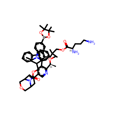 CCn1c(-c2cc(C3=CC4COCC(C3)N4C(=O)OCC3c4ccccc4-c4ccccc43)cnc2[C@H](C)OC)c(CC(C)(C)COC(=O)[C@@H](N)CCCN)c2cc(B3OC(C)(C)C(C)(C)O3)ccc21